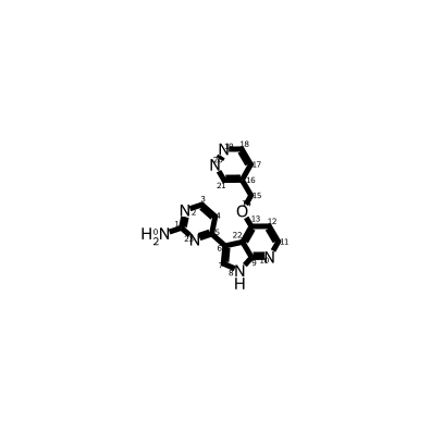 Nc1nccc(-c2c[nH]c3nccc(OCc4ccnnc4)c23)n1